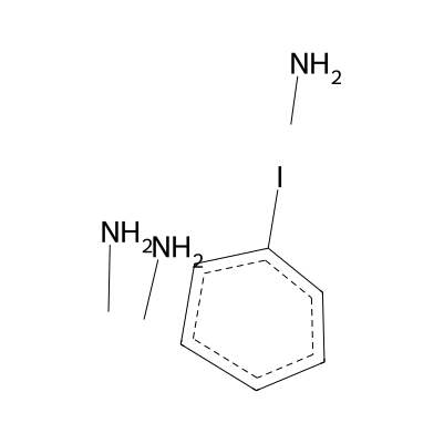 CN.CN.CN.Ic1ccccc1